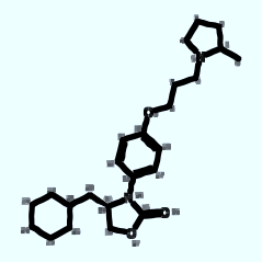 CC1CCCN1CCCOc1ccc(N2C(=O)OC[C@H]2CC2CCCCC2)cc1